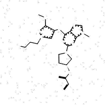 C=CC(=O)N[C@@H]1CN(c2nc(Nc3cn(CCCN)nc3OC)c3ncn(C)c3n2)C[C@H]1F